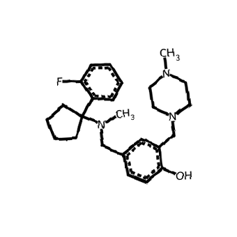 CN1CCN(Cc2cc(CN(C)C3(c4ccccc4F)CCCC3)ccc2O)CC1